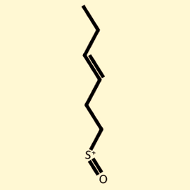 CCC=CCC[S+]=O